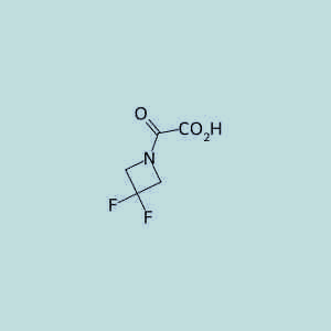 O=C(O)C(=O)N1CC(F)(F)C1